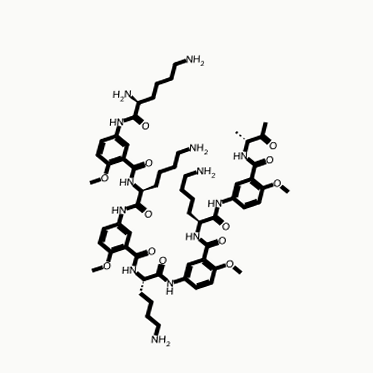 COc1ccc(NC(=O)[C@H](CCCCN)NC(=O)c2cc(NC(=O)[C@@H](N)CCCCN)ccc2OC)cc1C(=O)N[C@@H](CCCCN)C(=O)Nc1ccc(OC)c(C(=O)N[C@@H](CCCCN)C(=O)Nc2ccc(OC)c(C(=O)N[C@H](C)C(C)=O)c2)c1